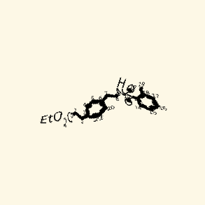 CCOC(=O)CCc1ccc(CCNS(=O)(=O)c2ccccc2C)cc1